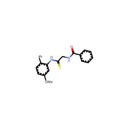 COc1ccc(C(C)C)c(NC(=S)CNC(=O)c2ccccc2)c1